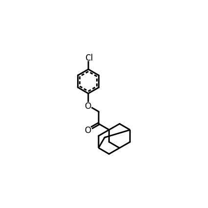 O=C(COc1ccc(Cl)cc1)C12CC3CC(CC(C3)C1)C2